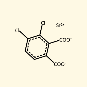 O=C([O-])c1ccc(Cl)c(Cl)c1C(=O)[O-].[Sr+2]